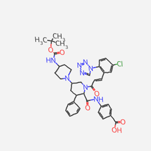 CC(C)(C)OC(=O)NC1CCN(C2CC(c3ccccc3)C(C(=O)Nc3ccc(C(=O)O)cc3)N(C(=O)/C=C/c3cc(Cl)ccc3-n3cnnn3)C2)CC1